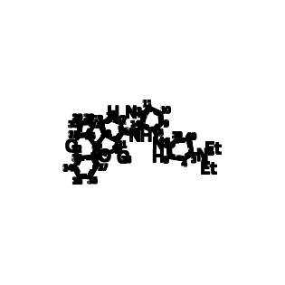 CCN(CC)c1ccc(Nc2cccc(N)c2Nc2cccc3c2C(=O)OC32c3ccccc3Oc3ccccc32)cc1